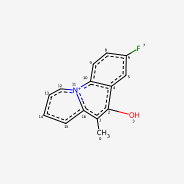 Cc1c(O)c2cc(F)ccc2[n+]2ccccc12